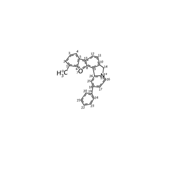 Cc1cccc2c1oc1c3c(ccc12)C[n+]1ccc(-c2ccccc2)cc1-3